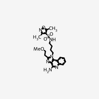 COCCc1nc2c(N)nc3ccccc3c2n1CCCCNS(=O)(=O)c1c(C)noc1C